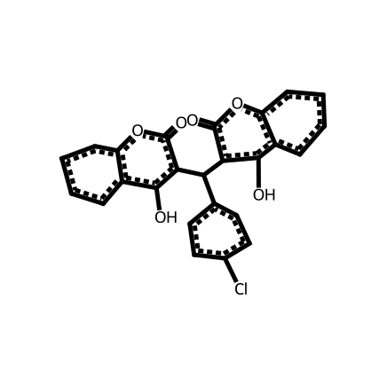 O=c1oc2ccccc2c(O)c1C(c1ccc(Cl)cc1)c1c(O)c2ccccc2oc1=O